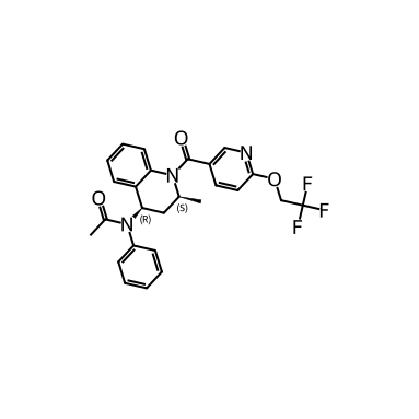 CC(=O)N(c1ccccc1)[C@@H]1C[C@H](C)N(C(=O)c2ccc(OCC(F)(F)F)nc2)c2ccccc21